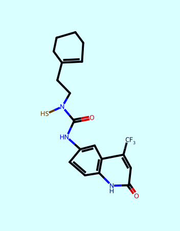 O=C(Nc1ccc2[nH]c(=O)cc(C(F)(F)F)c2c1)N(S)CCC1=CCCCC1